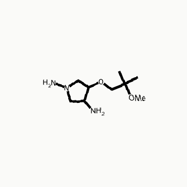 COC(C)(C)COC1CN(N)CC1N